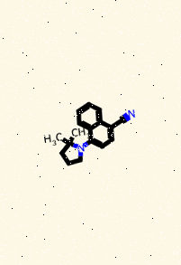 CC1(C)CCCN1c1ccc(C#N)c2ccccc12